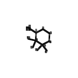 CCC1CCCC(C)(C)C1(C)C